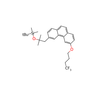 CC(C)(Cc1ccc2ccc3ccc(OCCCC(F)(F)F)cc3c2c1)O[Si](C)(C)C(C)(C)C